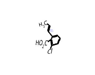 C/C=C/c1cccc(Cl)c1C(=O)O